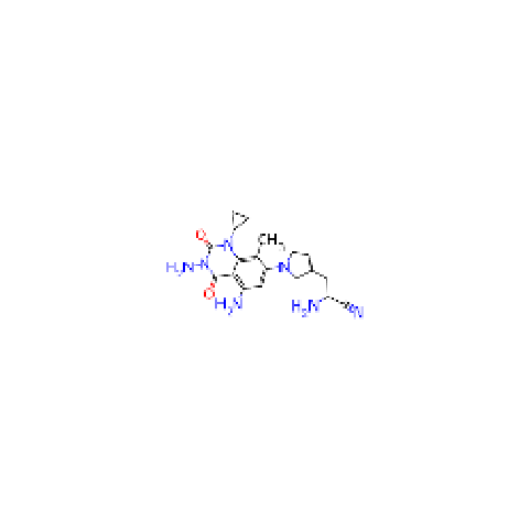 Cc1c(N2CCC(CC(N)C#N)C2)cc(N)c2c(=O)n(N)c(=O)n(C3CC3)c12